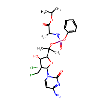 CC(C)OC(=O)[C@H](C)N[P@](=O)(Oc1ccccc1)OC(C)(C)[C@H]1O[C@@H](n2ccc(N)nc2=O)[C@@](Cl)(CF)C1O